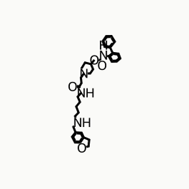 O=C(CCN1CCC(OC(=O)Nc2ccccc2-c2ccccc2)CC1)NCCCCCNCc1ccc2c(c1)CCO2